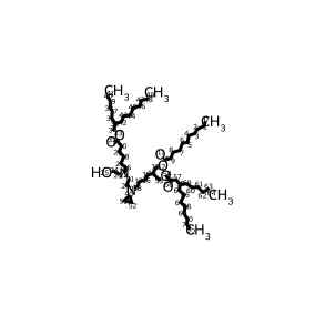 CCCCCCCCCCC(=O)OCC(CCCCN(CCN(CCO)CCCCCC(=O)OCC(CCCCCC)CCCCCCCC)C1CC1)COC(=O)CC(CCCCCC)CCCCCCCC